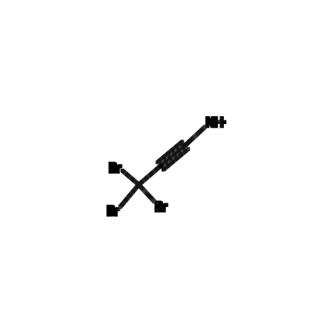 [NH]C#CC(Br)(Br)Br